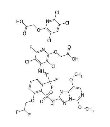 COc1cnc(OC)n2nc(NS(=O)(=O)c3c(OCC(F)F)cccc3C(F)(F)F)nc12.Nc1c(Cl)c(F)nc(OCC(=O)O)c1Cl.O=C(O)COc1nc(Cl)c(Cl)cc1Cl